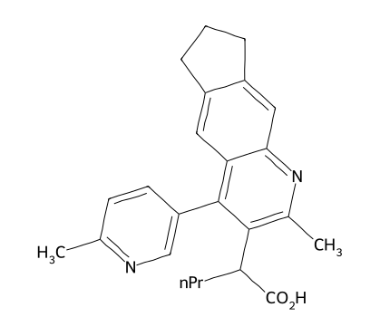 CCCC(C(=O)O)c1c(C)nc2cc3c(cc2c1-c1ccc(C)nc1)CCC3